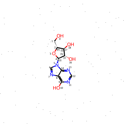 OC[C@H]1O[C@H](n2cnc3c(O)ncnc32)[C@@H](O)[C@@H]1O